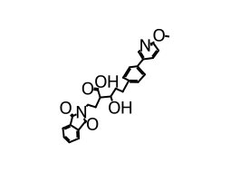 COc1ccc(-c2ccc(CCC(O)C(CCN3C(=O)c4ccccc4C3=O)C(=O)O)cc2)cn1